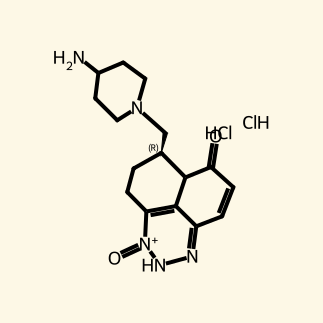 Cl.Cl.NC1CCN(C[C@@H]2CCc3c4c(n[nH][n+]3=O)C=CC(=O)C42)CC1